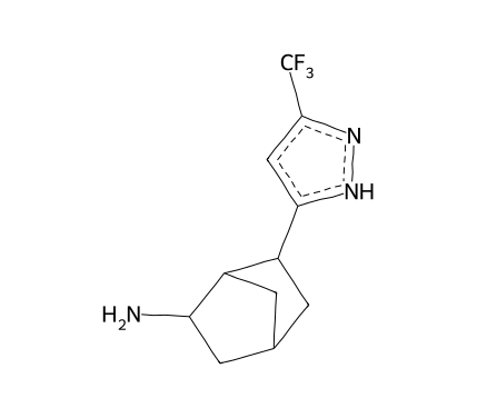 NC1CC2CC(c3cc(C(F)(F)F)n[nH]3)C1C2